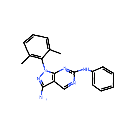 Cc1cccc(C)c1-n1nc(N)c2cnc(Nc3ccccc3)nc21